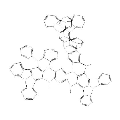 CN1c2cc3c(cc2B2c4cc5c(cc4N(C)c4c2c1c1c2ccccc2n2c6ccccc6c4c12)N(C)c1c2c(c4c6ccccc6n6c7ccccc7c1c46)N(c1ccccc1)c1ccccc1B52)B1c2ccccc2N(c2ccccc2)c2c1c(c1c4ccccc4n4c5ccccc5c2c14)N3C